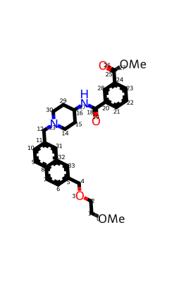 COCCOCc1ccc2ccc(CN3CCC(NC(=O)c4cccc(C(=O)OC)c4)CC3)cc2c1